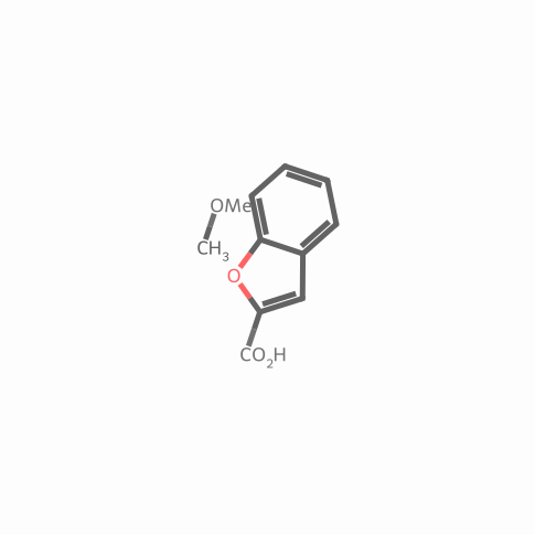 COC.O=C(O)c1cc2ccccc2o1